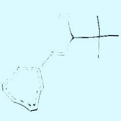 CC(C)(C)C(O)/C=C/c1ccccc1